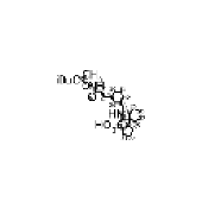 CC(C)COC(C)ONC(=O)C=Cc1cccc(CN[C@H](C(=O)O)C2(C3CCCC3)CCCCC2)c1